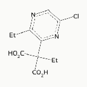 CCc1ncc(Cl)nc1C(CC)(C(=O)O)C(=O)O